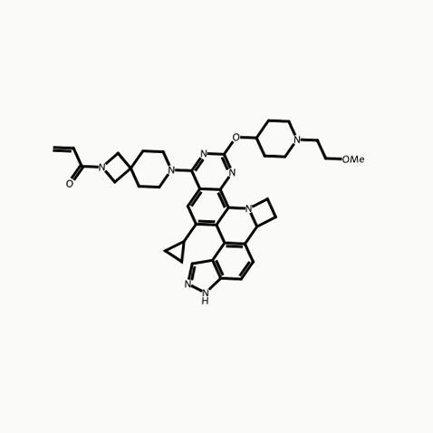 C=CC(=O)N1CC2(CCN(c3nc(OC4CCN(CCOC)CC4)nc4c5c(c(C6CC6)cc34)-c3c(ccc4[nH]ncc34)C3CCN53)CC2)C1